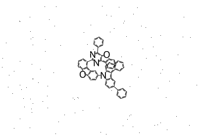 c1ccc(-c2ccc3c(c2)c2c4ccccc4ccc2n3-c2ccc3oc4cccc(-c5nc(-c6ccccc6)c6oc7ccccc7c6n5)c4c3c2)cc1